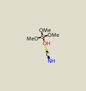 CO[Si](O)(OC)OC.N=C=S